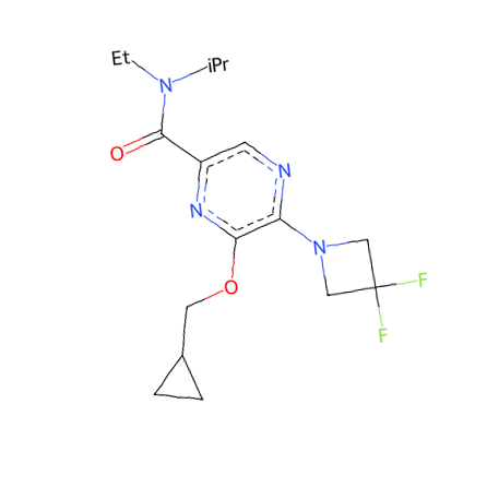 CCN(C(=O)c1cnc(N2CC(F)(F)C2)c(OCC2CC2)n1)C(C)C